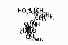 CCCCCC(=O)NCC[C@H](NC(=O)[C@H](CC1CCCCC1)NC(=O)N1CCOCC1)C(=O)NCCNC(=O)CCCCCN1/C(=C\C=C\C2=[N+](CC)c3ccccc3C2(C)C)C(C)(C)c2cc(S(=O)(=O)O)ccc21